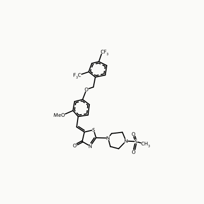 COc1cc(OCc2ccc(C(F)(F)F)cc2C(F)(F)F)ccc1C=C1SC(N2CCN(S(C)(=O)=O)CC2)=NC1=O